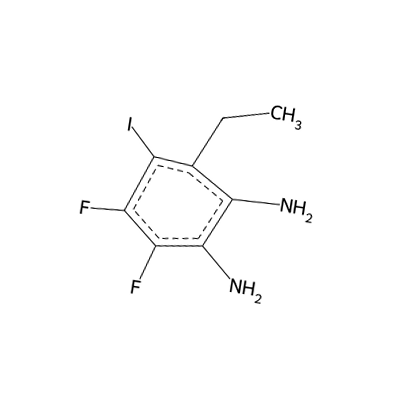 CCc1c(N)c(N)c(F)c(F)c1I